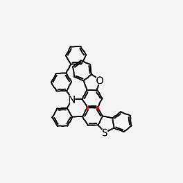 c1ccc(-c2cccc(N(c3ccccc3-c3ccc4c(c3)sc3ccccc34)c3cccc4oc5ccccc5c34)c2)cc1